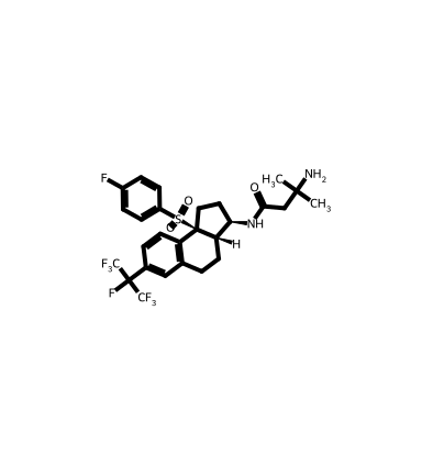 CC(C)(N)CC(=O)N[C@@H]1CC[C@@]2(S(=O)(=O)c3ccc(F)cc3)c3ccc(C(F)(C(F)(F)F)C(F)(F)F)cc3CC[C@@H]12